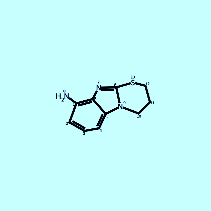 Nc1cccc2c1nc1n2CCCS1